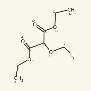 CCOC(=O)C(OCCl)C(=O)OCC